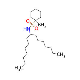 BC1(S(=O)(=O)NC(CCCCCCC)CCCCCCC)CCCCC1